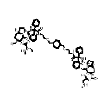 CC[C@H](NC)C(=O)N[C@@H]1C(=O)N2[C@@H](CC[C@@H]1CO)CC[C@H]2C(=O)NC(C(=O)NCCOCC1CCC(COCCNC(=O)C(NC(=O)[C@@H]2CC[C@@H]3CC[C@H](CO)[C@H](NC(=O)CNC)C(=O)N32)(c2ccccc2)c2ccccc2)CC1)(c1ccccc1)c1ccccc1